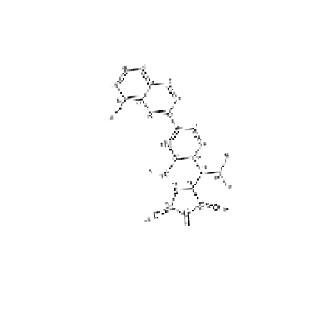 COc1nc(-c2ccc3cccc(F)c3c2)ccc1C(C(C)C)C1SC(=O)NC1=O